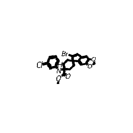 COC(=O)C1(Nc2cccc(Cl)c2)CCC2(CC1)C(Br)=Cc1cc3c(cc12)OCO3